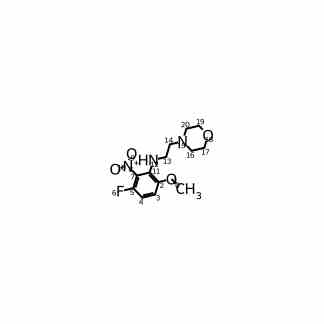 COc1ccc(F)c([N+](=O)[O-])c1NCCN1CCOCC1